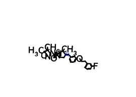 Cc1onc(NC(=O)N2CC/C(=C\c3cccc(OCCc4cccc(F)c4)c3)C(C)C2)c1C